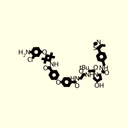 Cc1ncsc1-c1ccc(CNC(=O)[C@@H]2C[C@@H](O)CN2C(=O)[C@@H](NC(=O)CNC(=O)c2ccc(Oc3ccc(C(=O)N[C@H]4C(C)(C)[C@H](Oc5ccc(N)c(Cl)c5)C4(C)C)cc3)cc2)C(C)(C)C)cc1